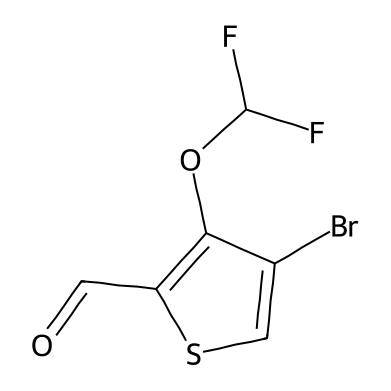 O=Cc1scc(Br)c1OC(F)F